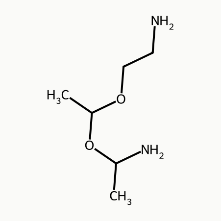 CC(N)OC(C)OCCN